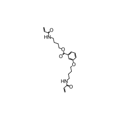 C=CC(=O)NCCCCOC(=O)c1cccc(OCCCCNC(=O)C=C)c1